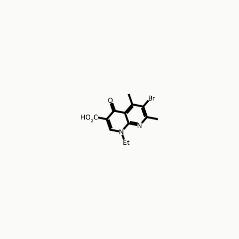 CCn1cc(C(=O)O)c(=O)c2c(C)c(Br)c(C)nc21